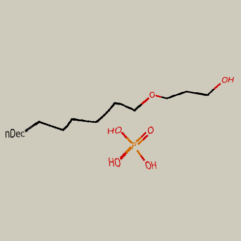 CCCCCCCCCCCCCCCCOCCCO.O=P(O)(O)O